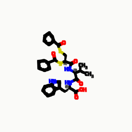 CC(C)[C@H](NC(=O)[C@H](CSC(=O)c1ccccc1)SC(=O)c1ccccc1)C(=O)N[C@@H](Cc1c[nH]c2ccccc12)C(=O)O